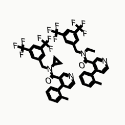 CCN(Cc1cc(C(F)(F)F)cc(C(F)(F)F)c1)C(=O)c1cnccc1-c1ccccc1C.Cc1ccccc1-c1ccncc1C(=O)N(Cc1cc(C(F)(F)F)cc(C(F)(F)F)c1)C1CC1